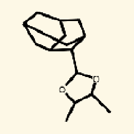 CC1OC(C2C3CC4CC(C3)CC2C4)OC1C